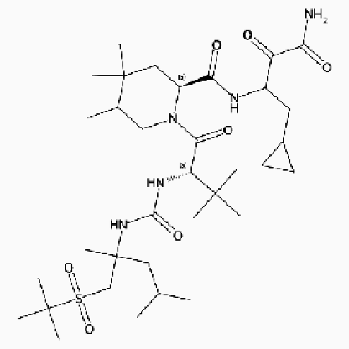 CC(C)CC(C)(CS(=O)(=O)C(C)(C)C)NC(=O)N[C@H](C(=O)N1CC(C)C(C)(C)C[C@H]1C(=O)NC(CC1CC1)C(=O)C(N)=O)C(C)(C)C